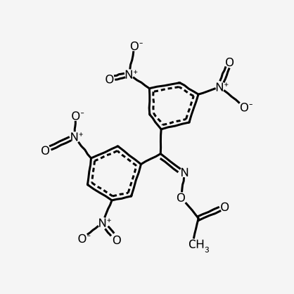 CC(=O)ON=C(c1cc([N+](=O)[O-])cc([N+](=O)[O-])c1)c1cc([N+](=O)[O-])cc([N+](=O)[O-])c1